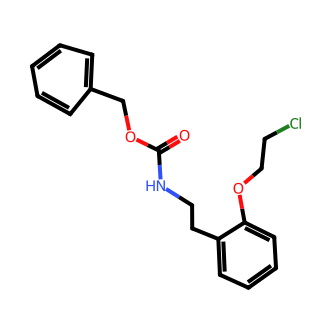 O=C(NCCc1ccccc1OCCCl)OCc1ccccc1